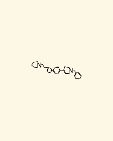 C1=C(c2ccc(OCCCN3CCCCC3)cc2)CCN(Cc2ccccc2)C1